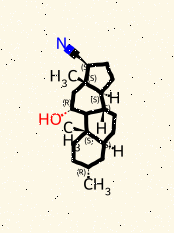 C[C@@H]1CC[C@]2(C)C3[C@H](O)C[C@]4(C)[C@@H](C#N)CC[C@H]4[C@@H]3CC[C@H]2C1